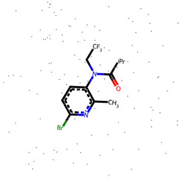 Cc1nc(Br)ccc1N(CC(F)(F)F)C(=O)C(C)C